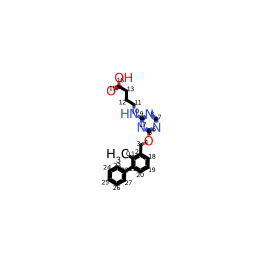 Cc1c(COc2ncnc(NCCCC(=O)O)n2)cccc1-c1ccccc1